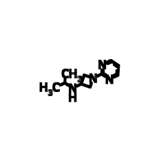 CC(C)NC1CN(c2ncccn2)C1